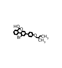 CCC(C)COc1ccc(-c2ccc(-c3ccccc3C(=O)O)c(Br)c2)cc1